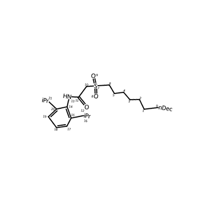 CCCCCCCCCCCCCCCCS(=O)(=O)CC(=O)Nc1c(C(C)C)cccc1C(C)C